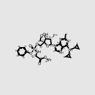 Cc1nc(N(C2CC2)C2CC2)c2ncn([C@@H]3O[C@](CCl)(COP(=O)(N[C@@H](C)C(=O)OC(C)C)Oc4ccccc4)[C@@H](O)[C@@H]3F)c2n1